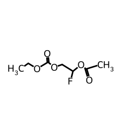 CCOC(=O)OCC(F)OC(C)=O